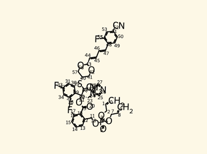 C=CCOP(=O)(OCC=C)OCc1cccc(F)c1C(=O)O[C@@](Cn1cncn1)(c1ccc(F)cc1F)[C@@H](C)S[C@H]1CO[C@H](C=CC=Cc2ccc(C#N)cc2F)OC1